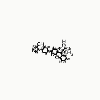 Cc1nnnn1-c1ccc(-c2ccc3c(n2)Oc2ccccc2C3C(C)(C)C(=O)O)cc1